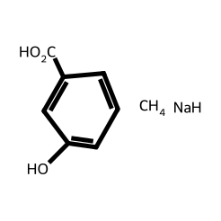 C.O=C(O)c1cccc(O)c1.[NaH]